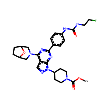 CC(C)OC(=O)N1CCC(n2ncc3c(N4CC5CCC(C4)O5)nc(-c4ccc(NC(=O)NCCF)cc4)nc32)CC1